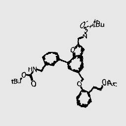 CC(=O)OCCc1ccccc1OCc1cc(-c2cccc(CNC(=O)OC(C)(C)C)c2)c2oc(/C=N/[S+]([O-])C(C)(C)C)cc2c1